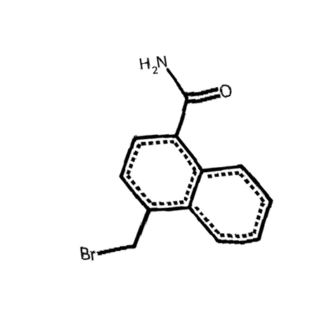 NC(=O)c1ccc(CBr)c2ccccc12